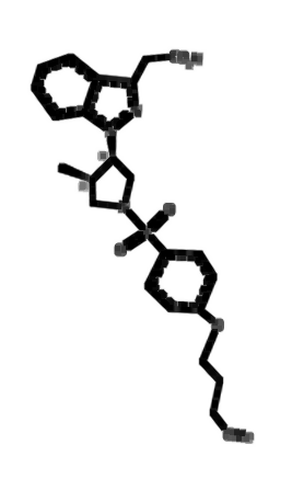 COCCCOc1ccc(S(=O)(=O)N2C[C@@H](C)[C@@H](n3nc(CC(=O)O)c4ccccc43)C2)cc1